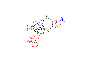 CC[C@H]1CCC[C@H](O[C@H]2CC[C@H](N(C)C)C(C)O2)[C@@H](C)C(=O)C2=C[C@H]3[C@@H]4C[C@H](O[C@@H]5OC(C)[C@H](OC)C(OC)C5OC)C[C@H]4[C@@H](O)[C@H](Nc4cccc(C(F)(F)F)c4)[C@H]3[C@@H]2CC(=O)O1